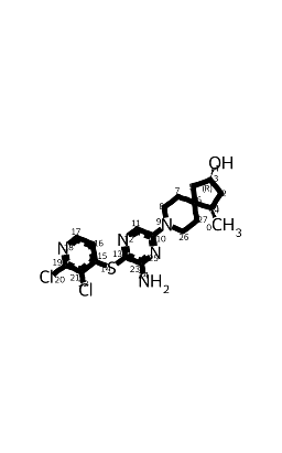 C[C@@H]1C[C@@H](O)CC12CCN(c1cnc(Sc3ccnc(Cl)c3Cl)c(N)n1)CC2